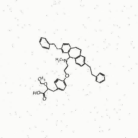 CCOC(Cc1ccc(OCCN(C)C2c3ccc(CCc4ccccc4)cc3CCc3ccc(CCc4ccccc4)cc32)cc1)C(=O)O